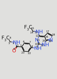 O=C(NCC(F)(F)F)c1ccc(Nc2nc(NCC(F)(F)F)c3ccnc-3[nH]2)cc1